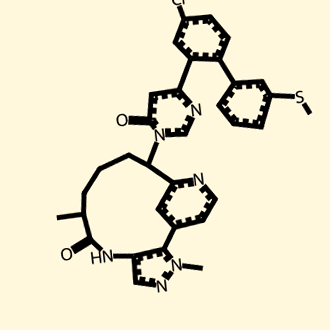 CSc1cccc(-c2ccc(Cl)cc2-c2cc(=O)n(C3CCCC(C)C(=O)Nc4cnn(C)c4-c4ccnc3c4)cn2)c1